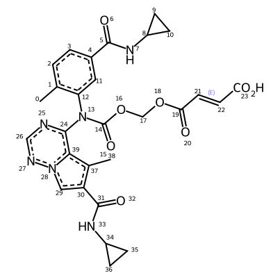 Cc1ccc(C(=O)NC2CC2)cc1N(C(=O)OCOC(=O)/C=C/C(=O)O)c1ncnn2cc(C(=O)NC3CC3)c(C)c12